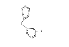 Ic1cccc(Cc2ccncc2)c1